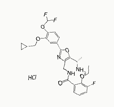 CCOc1c(F)cccc1C(=O)NCc1nc(-c2ccc(OC(F)F)c(OCC3CC3)c2)oc1[C@H](C)N.Cl